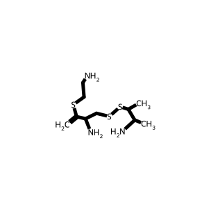 C=C(SCCN)C(N)CSSC(C)C(C)N